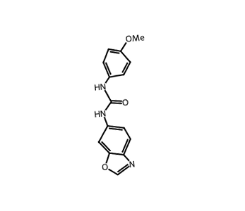 COc1ccc(NC(=O)Nc2ccc3ncoc3c2)cc1